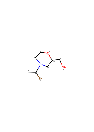 CC(S)N1CCO[C@@H](CO)C1